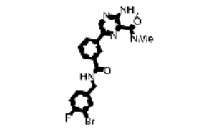 CNC(=O)c1nc(-c2cccc(C(=O)NCc3ccc(F)c(Br)c3)c2)cnc1N